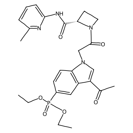 CCOP(=O)(OCC)c1ccc2c(c1)c(C(C)=O)cn2CC(=O)N1CC[C@H]1C(=O)Nc1cccc(C)n1